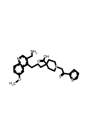 COc1ccc2ncc(CN)c(CCCC3(C(=O)O)CCN(CC(=S)c4cccs4)CC3)c2c1